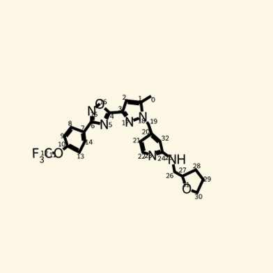 Cc1cc(-c2nc(-c3ccc(OC(F)(F)F)cc3)no2)nn1Cc1ccnc(NCC2CCCO2)c1